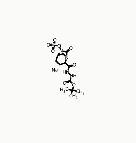 CC(C)(C)OC(=O)NNC(=O)C1CCC2CN1C(=O)N2OS(=O)(=O)[O-].[Na+]